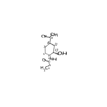 C=CC(=O)NC1CCC(C(=O)O)CC1O